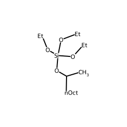 CCCCCCCCC(C)O[Si](OCC)(OCC)OCC